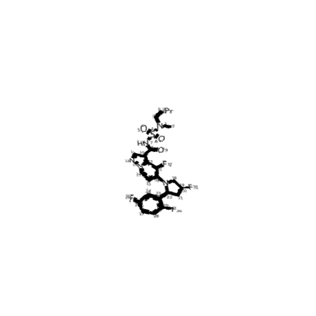 CC(C)CN(C)S(=O)(=O)NC(=O)c1cnn2ccc(N3C[C@@H](F)CC3c3cc(F)ccc3F)c(F)c12